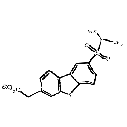 CCOC(=O)Cc1ccc2c(c1)sc1ccc(S(=O)(=O)N(C)C)cc12